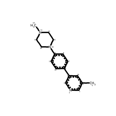 Cc1cncc(-c2ccc(N3CCN(C)CC3)cc2)c1